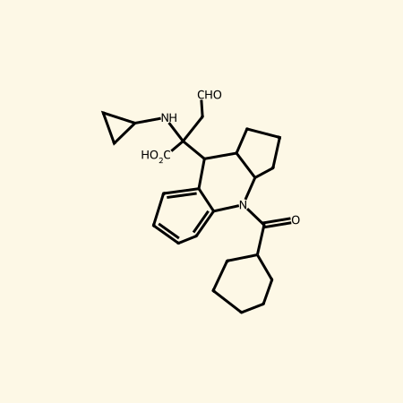 O=CCC(NC1CC1)(C(=O)O)C1c2ccccc2N(C(=O)C2CCCCC2)C2CCCC21